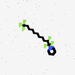 FC(CCCCCCCCC(F)(F)F)C(F)(F)[n+]1ccccc1